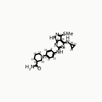 CSc1n[nH]c2nc(Nc3ccc(N4CCCC(C(N)=O)C4)cc3)nc(NC3CC3)c12